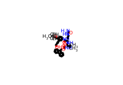 CC(C)[C@H](NC(=O)OCC1c2ccccc2-c2ccccc21)C(=O)N[C@@H](CCCNC(N)=O)C(=O)Nc1ccc(CO[Si](C)(C)C(C)(C)C)c(C#CCO)c1